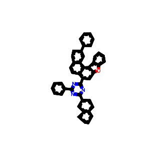 c1ccc(-c2ccc3ccc4c(-c5nc(-c6ccccc6)nc(-c6ccc7ccccc7c6)n5)cc5oc6ccccc6c5c4c3c2)cc1